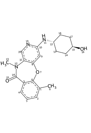 Cc1cccc2c1Oc1cc(N[C@H]3CC[C@H](O)CC3)ncc1N(C)C2=O